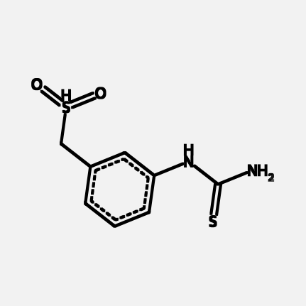 NC(=S)Nc1cccc(C[SH](=O)=O)c1